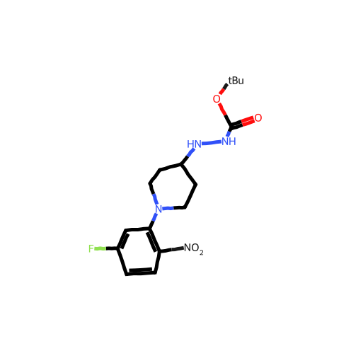 CC(C)(C)OC(=O)NNC1CCN(c2cc(F)ccc2[N+](=O)[O-])CC1